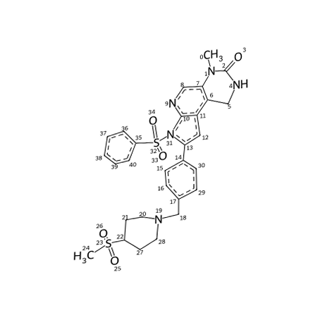 CN1C(=O)NCc2c1cnc1c2cc(-c2ccc(CN3CCC(S(C)(=O)=O)CC3)cc2)n1S(=O)(=O)c1ccccc1